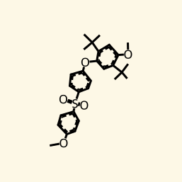 COc1ccc(S(=O)(=O)c2ccc(Oc3cc(C(C)(C)C)c(OC)cc3C(C)(C)C)cc2)cc1